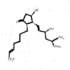 CCCCCC[C@H](C)C[C@H](O)/C=C/[C@@H]1[C@H](O)CC(=O)[C@@H]1CCCC/C=C/C(=O)O